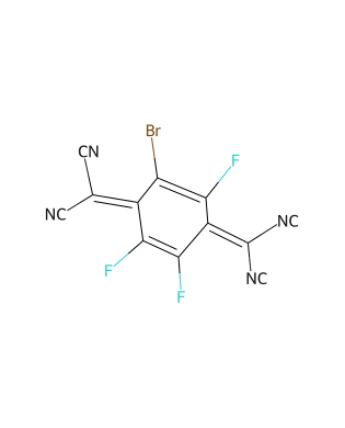 [C-]#[N+]C([N+]#[C-])=c1c(F)c(F)c(=C(C#N)C#N)c(Br)c1F